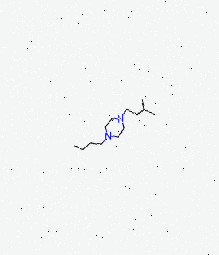 CCCCN1CCN(CCC(C)C)CC1